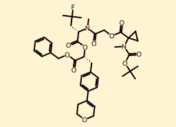 CN(C(=O)COC(=O)C1(N(C)C(=O)OC(C)(C)C)CC1)[C@@H](CC(C)(C)F)C(=O)O[C@H](Cc1ccc(C2=CCOCC2)cc1)C(=O)OCc1ccccc1